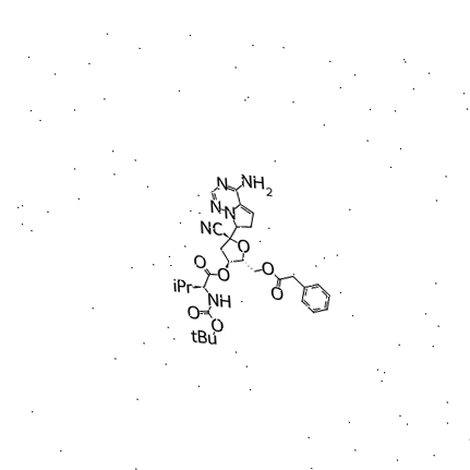 CC(C)[C@H](NC(=O)OC(C)(C)C)C(=O)O[C@H]1C[C@](C#N)(C2CC=C3C(N)=NC=NN32)O[C@@H]1COC(=O)Cc1ccccc1